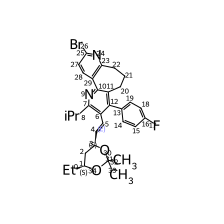 CC[C@H]1C[C@@H](/C=C/c2c(C(C)C)nc3c(c2-c2ccc(F)cc2)CCCc2nc(Br)ccc2-3)OC(C)(C)O1